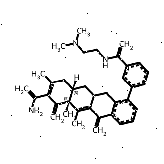 C=C(N)C1=C(C)C[C@@H]2CC3Cc4c(cccc4-c4cccc(C(=C)NCCN(C)C)c4)C(=C)C3=C(C)[C@]2(C)C1=C